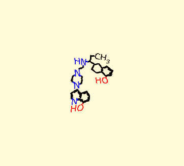 CCC(NCCN1CCN(c2ccnc3c(O)cccc23)CC1)C1CCc2c(O)cccc2C1